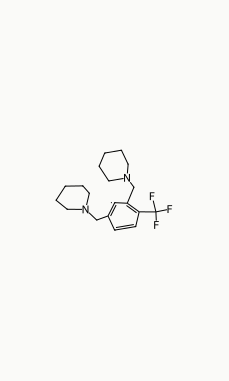 FC(F)(F)c1ccc(CN2CCCCC2)[c]c1CN1CCCCC1